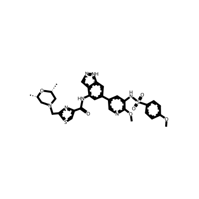 COc1ccc(S(=O)(=O)Nc2cc(-c3cc(NC(=O)c4csc(CN5C[C@@H](C)O[C@@H](C)C5)n4)c4cn[nH]c4c3)cnc2OC)cc1